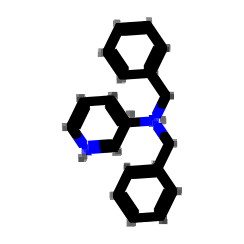 c1ccc(CN(Cc2ccccc2)c2cccnc2)cc1